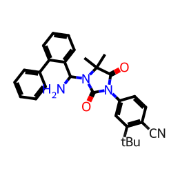 CC(C)(C)c1cc(N2C(=O)N(C(N)c3ccccc3-c3ccccc3)C(C)(C)C2=O)ccc1C#N